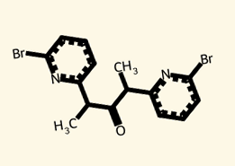 CC(C(=O)C(C)c1cccc(Br)n1)c1cccc(Br)n1